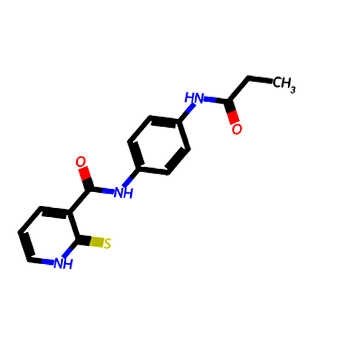 CCC(=O)Nc1ccc(NC(=O)c2ccc[nH]c2=S)cc1